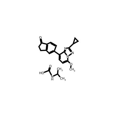 CC(C)NC(=O)O.COc1ccc(-c2ccc3c(c2)CCC3=O)c2nc(C3CC3)nn12